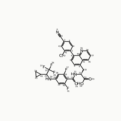 N#Cc1ccc(-c2ccc(C[C@H](NC(=O)c3c(F)cc(NC(C4CC4)C(F)(F)F)cc3F)C(=O)O)c3cccnc23)c(Cl)c1